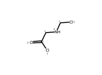 O=C(Cl)CNCCl